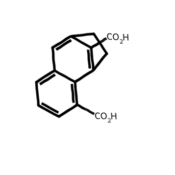 O=C(O)c1c2cc3cccc(C(=O)O)c3c1CC2